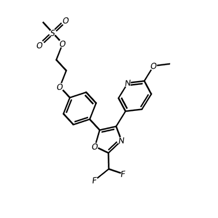 COc1ccc(-c2nc(C(F)F)oc2-c2ccc(OCCOS(C)(=O)=O)cc2)cn1